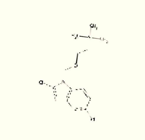 C[Si](C)(C)CCOCn1c(Cl)nc2cc(Cl)ccc21